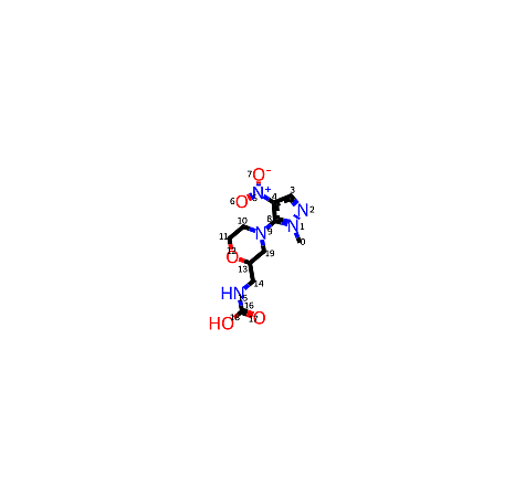 Cn1ncc([N+](=O)[O-])c1N1CCOC(CNC(=O)O)C1